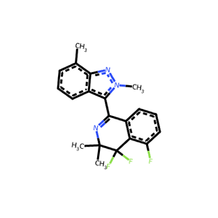 Cc1cccc2c(C3=NC(C)(C)C(F)(F)c4c(F)cccc43)n(C)nc12